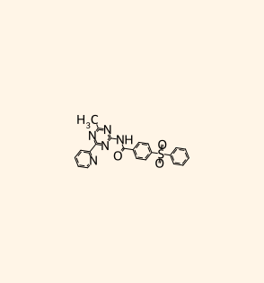 Cc1nc(NC(=O)c2ccc(S(=O)(=O)c3ccccc3)cc2)nc(-c2ccccn2)n1